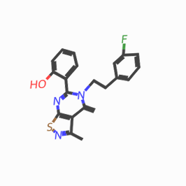 C=C1c2c(C)nsc2N=C(c2ccccc2O)N1CCc1cccc(F)c1